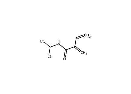 C=CC(=C)C(=O)NC(CC)CC